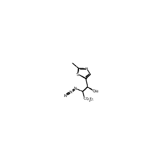 CCOC(=O)C(N=[N+]=[N-])C(O)c1cnc(C)s1